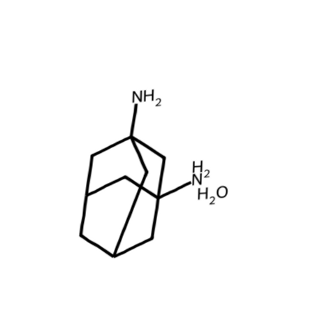 NC12CC3CC(C1)CC(N)(C3)C2.O